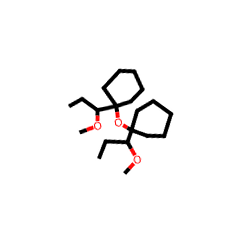 CCC(OC)C1(OC2(C(CC)OC)CCCCC2)CCCCC1